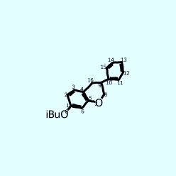 CC(C)COc1ccc2c(c1)OCC(c1ccccc1)C2